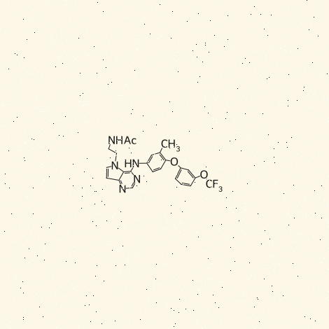 CC(=O)NCCn1ccc2ncnc(Nc3ccc(Oc4cccc(OC(F)(F)F)c4)c(C)c3)c21